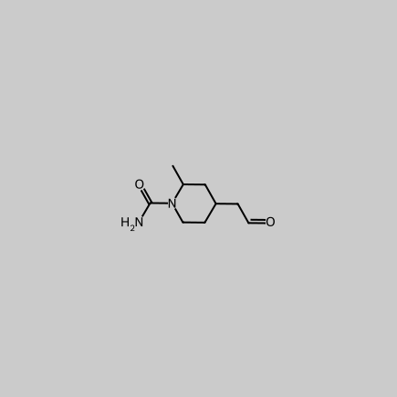 CC1CC(CC=O)CCN1C(N)=O